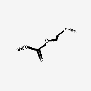 [CH2]CCCCCCOC(=O)CCCCCC